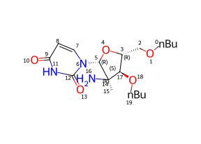 CCCCOC[C@H]1O[C@@H](n2ccc(=O)[nH]c2=O)[C@](C)(N)[C@@H]1OCCCC